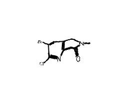 CN1Cc2cc(Br)c(Cl)nc2C1=O